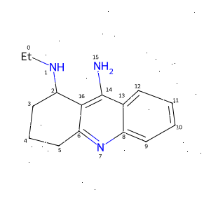 CCNC1CCCc2nc3ccccc3c(N)c21